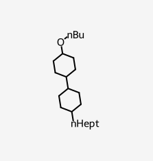 CCCCCCCC1CCC(C2CCC(OCCCC)CC2)CC1